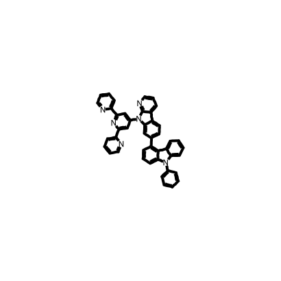 c1ccc(-n2c3ccccc3c3c(-c4ccc5c6cccnc6n(-c6cc(-c7ccccn7)nc(-c7ccccn7)c6)c5c4)cccc32)cc1